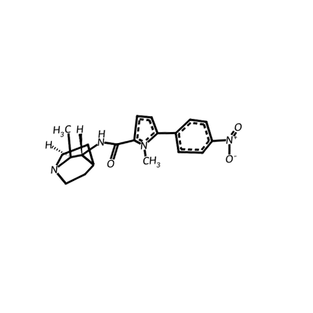 C[C@H]1[C@H](NC(=O)c2ccc(-c3ccc([N+](=O)[O-])cc3)n2C)C2CCN1CC2